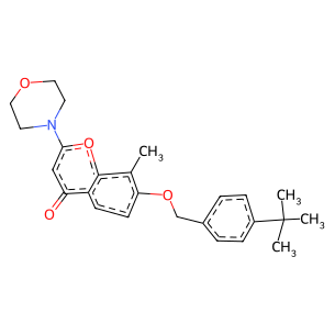 Cc1c(OCc2ccc(C(C)(C)C)cc2)ccc2c(=O)cc(N3CCOCC3)oc12